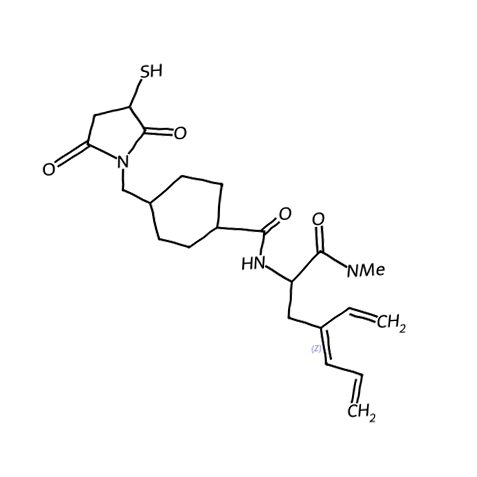 C=C/C=C(\C=C)CC(NC(=O)C1CCC(CN2C(=O)CC(S)C2=O)CC1)C(=O)NC